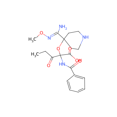 CCC(=O)C(NC(=O)c1ccccc1)(OC1(C(N)=NOC)CCNCC1)C(=O)O